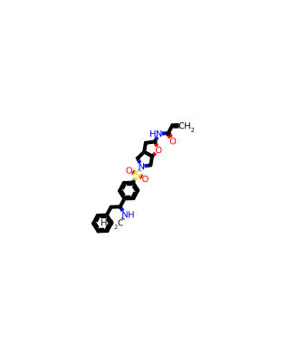 C=CC(=O)NC1CC2CN(S(=O)(=O)c3ccc(C(Cc4ccccc4)NC(=O)O)cc3)CC2O1